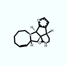 O=C1NCC[C@H]2c3ccoc3[C@@H]3N4CCCC/C=C\[C@H]4C[C@@]132